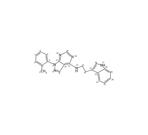 Cc1ccccc1-n1ncc2c(NCCc3c[nH]c4ccccc34)ncnc21